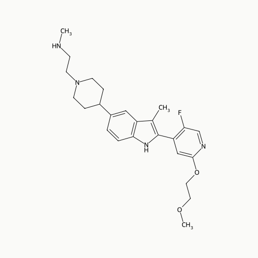 CNCCN1CCC(c2ccc3[nH]c(-c4cc(OCCOC)ncc4F)c(C)c3c2)CC1